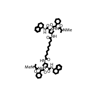 CN[C@@H](C)C(=O)N[C@H](C(=O)N1C[C@@H](NC(=O)CCCCCCCCC(=O)N[C@H]2C[C@@H](C(=O)N[C@@H]3CCCc4ccccc43)N(C(=O)[C@@H](NC(=O)[C@H](C)NC)C3CCCCC3)C2)C[C@H]1C(=O)N[C@@H]1CCCc2ccccc21)C1CCCCC1